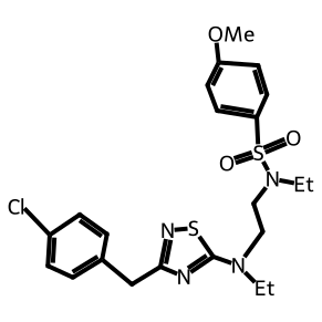 CCN(CCN(CC)S(=O)(=O)c1ccc(OC)cc1)c1nc(Cc2ccc(Cl)cc2)ns1